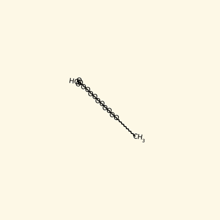 CCCCCCCCCCCCCCCCOCCOCCOCCOCCOCCOCCOCCOCCOCCOCCOS(=O)(=O)O